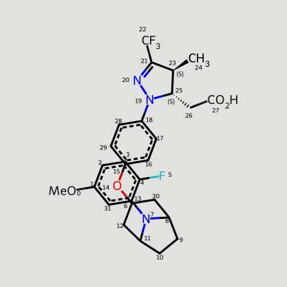 COc1ccc(F)c(N2C3CCC2CC(Oc2ccc(N4N=C(C(F)(F)F)[C@@H](C)[C@@H]4CC(=O)O)cc2)C3)c1